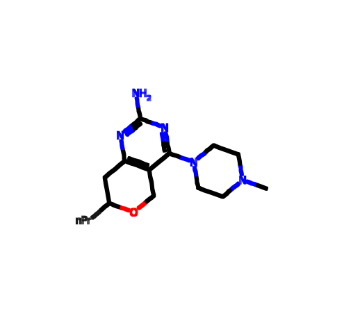 CCCC1Cc2nc(N)nc(N3CCN(C)CC3)c2CO1